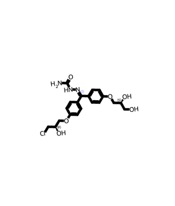 NC(=O)N/N=C(/c1ccc(OC[C@@H](O)CO)cc1)c1ccc(OC[C@@H](O)CCl)cc1